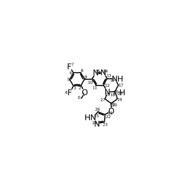 COc1c(F)cc(F)cc1-c1cc2c(nn1)NC[C@H]1C[C@@H](Oc3cn[nH]c3)CN21